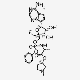 CC(NP(=O)(OC[C@@]1(CF)O[C@@H](c2ccc3c(N)ncnn23)[C@H](O)[C@@H]1O)Oc1ccccc1)C(=O)O[C@@H]1CCN(C)C1